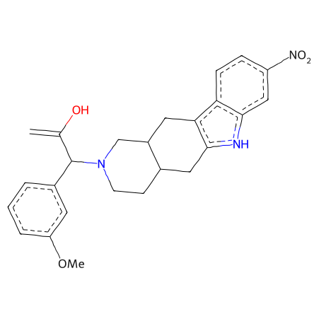 C=C(O)C(c1cccc(OC)c1)N1CCC2Cc3[nH]c4cc([N+](=O)[O-])ccc4c3CC2C1